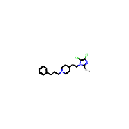 Cc1nc(Cl)c(Cl)n1CCC1CCN(CCCc2ccccc2)CC1